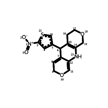 O=[N+]([O-])c1cc(C2C3=CCOC=C3NC3=C2CCOC3)cs1